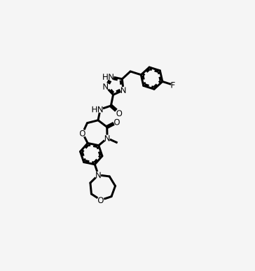 CN1C(=O)C(NC(=O)c2n[nH]c(Cc3ccc(F)cc3)n2)COc2ccc(N3CCCOCC3)cc21